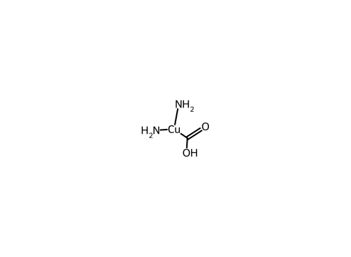 [NH2][Cu]([NH2])[C](=O)O